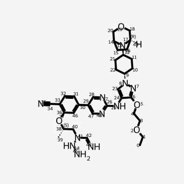 CCOCCOc1nn([C@H]2CC[C@H](N3C4CC[C@@H]3COC4)CC2)cc1Nc1ncc(-c2ccc(C#N)c(O[C@@H](C)CN(C=N)NN)c2)cn1